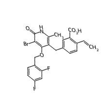 C=Cc1ccc(Cc2c(C)[nH]c(=O)c(Br)c2OCc2ccc(F)cc2F)cc1C(=O)O